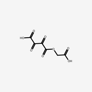 O=C(O)COC(=O)C(=O)C(=O)C(=O)O